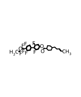 C=C(F)OC(F)(F)c1c(F)cc(-c2c(F)cc(OC(=O)C3CCC(CC/C=C/C)CC3)cc2F)cc1F